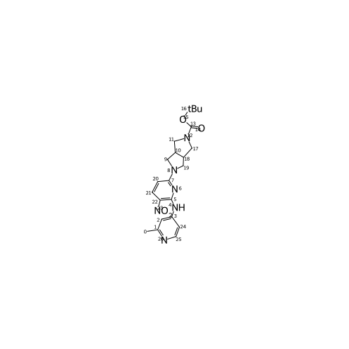 Cc1cc(Nc2nc(N3CC4CN(C(=O)OC(C)(C)C)CC4C3)ccc2[N+](=O)[O-])ccn1